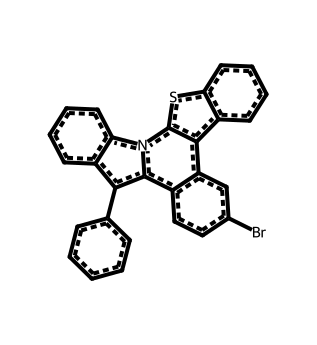 Brc1ccc2c(c1)c1c3ccccc3sc1n1c3ccccc3c(-c3ccccc3)c21